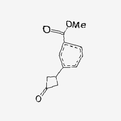 COC(=O)c1cccc(C2CC(=O)C2)c1